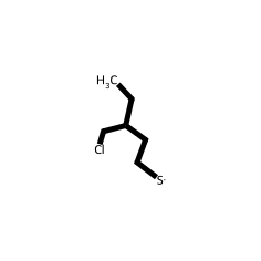 CCC(CCl)CC[S]